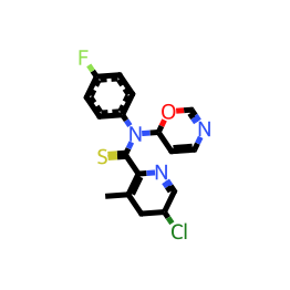 CC1=C(C(=S)N(c2ccc(F)cc2)C2C=CN=CO2)N=CC(Cl)C1